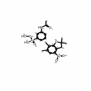 CC(=O)Nc1cccc([As](=O)(O)OO)c1.Cc1cc([N+](=O)[O-])c2c(c1C)OC(C)(C)C2